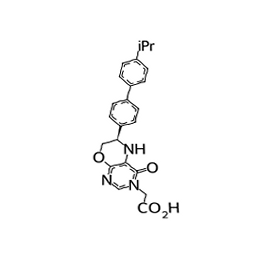 CC(C)c1ccc(-c2ccc([C@@H]3COc4ncn(CC(=O)O)c(=O)c4N3)cc2)cc1